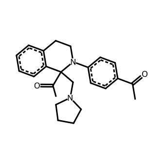 CC(=O)c1ccc(N2CCc3ccccc3C2(CN2CCCC2)C(C)=O)cc1